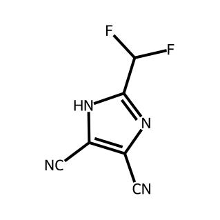 N#Cc1nc(C(F)F)[nH]c1C#N